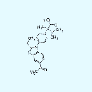 CCc1nc2cc(C(C)=O)ccc2n1-c1ccc(C(C)(C(=O)O)C(C)C)cc1